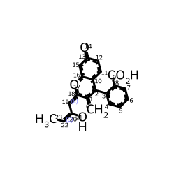 C=c1c(-c2ccccc2C(=O)O)c2ccc(=O)cc-2o/c1=C/C(O)=C\C